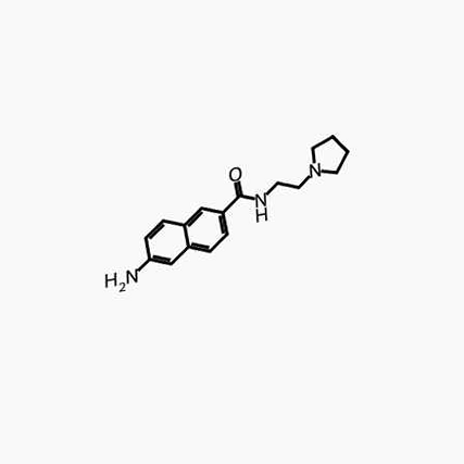 Nc1ccc2cc(C(=O)NCCN3CCCC3)ccc2c1